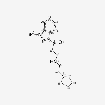 CC(C)n1cc(C(=O)CCNCCN2CCCC2)c2ccccc21